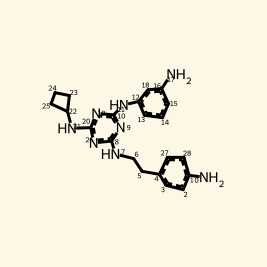 Nc1ccc(CCNc2nc(Nc3cccc(N)c3)nc(NC3CCC3)n2)cc1